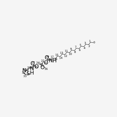 CCCCCCCCCCCCCCCCCCNC(=O)OCC(COC(=O)NCc1nccs1)OC